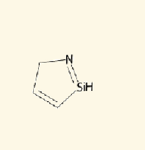 C1=C[SiH]=NC1